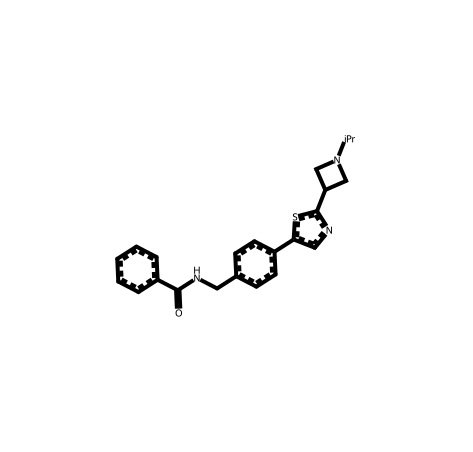 CC(C)N1CC(c2ncc(-c3ccc(CNC(=O)c4ccccc4)cc3)s2)C1